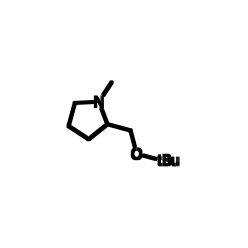 CN1CCCC1COC(C)(C)C